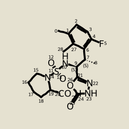 Cc1ccc(F)c([C@H](C)[C@H](NS(=O)(=O)N2CCCCC2C(=O)O)c2n[nH]c(=O)o2)c1C